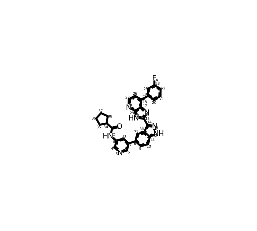 O=C(Nc1cncc(-c2ccc3[nH]nc(-c4nc5c(-c6cccc(F)c6)ccnc5[nH]4)c3c2)c1)C1CCCC1